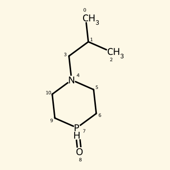 CC(C)CN1CC[PH](=O)CC1